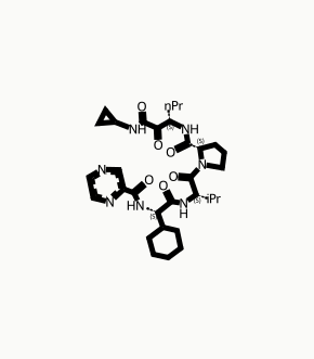 CCC[C@H](NC(=O)[C@@H]1CCCN1C(=O)[C@@H](NC(=O)[C@@H](NC(=O)c1cnccn1)C1CCCCC1)C(C)C)C(=O)C(=O)NC1CC1